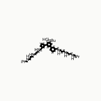 CC(C)CNCCCNCCCNCc1cccc(-c2cc(-c3cccc(CNCCCNCCCNCC(C)C)c3)cc(C(C)(C)C)c2)c1.Cl